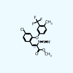 COC(=O)/C(=C/c1ccc(Cl)cc1Oc1ccc(C)c(C(F)(F)F)c1)N=[N+]=[N-]